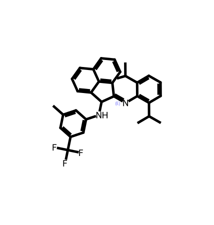 Cc1cc(NC2/C(=N/c3c(C(C)C)cccc3C(C)C)c3cccc4cccc2c34)cc(C(F)(F)F)c1